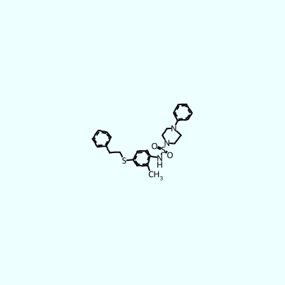 Cc1cc(SCCc2ccccc2)ccc1NS(=O)(=O)N1CCN(c2ccccc2)CC1